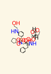 O=C(N[C@@H](Cc1ccccc1)[C@H](O)CN(OC1CCCC1)S(=O)(=O)c1cccc(NCCO)c1)O[C@@H]1CO[C@@H]2OCC[C@@H]21